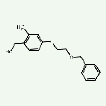 Cc1cc(OCCOCc2ccccc2)ccc1CO